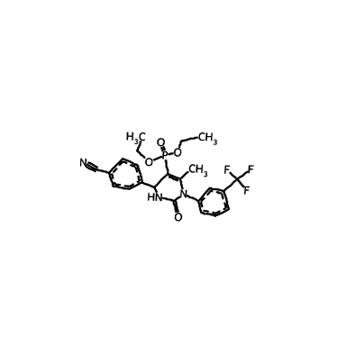 CCOP(=O)(OCC)C1=C(C)N(c2cccc(C(F)(F)F)c2)C(=O)NC1c1ccc(C#N)cc1